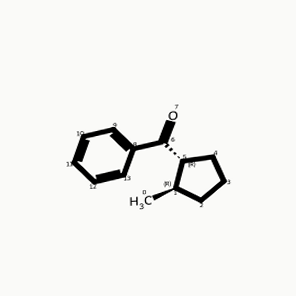 C[C@@H]1CCC[C@H]1C(=O)c1ccccc1